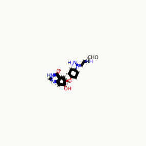 NN(CCNC=O)[C@H]1CC[C@@H](Oc2cc3c(=O)[nH]cnc3cc2O)CC1